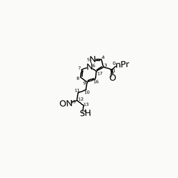 CCCC(=O)c1cnn2ccc(CCC(CS)N=O)cc12